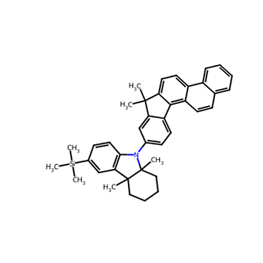 CC1(C)c2cc(N3c4ccc([Si](C)(C)C)cc4C4(C)CCCCC34C)ccc2-c2c1ccc1c2ccc2ccccc21